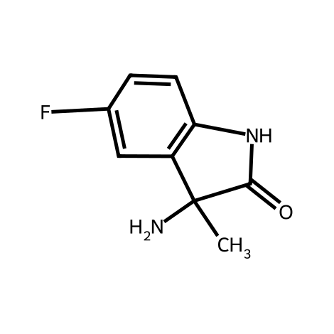 CC1(N)C(=O)Nc2ccc(F)cc21